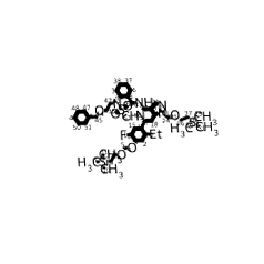 CCc1cc(OCOCC[Si](C)(C)C)c(F)cc1-c1cc2c(cnn2COCC[Si](C)(C)C)c(NCc2ccccc2N(CCOCc2ccccc2)S(C)(=O)=O)n1